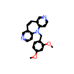 COc1ccc(CN2c3ccncc3C=Cc3cnccc32)c(OC)c1